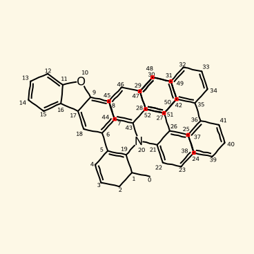 CC1CC=CC(c2ccc3oc4ccccc4c3c2)=C1N(c1ccccc1-c1cccc2cccc(-c3ccccc3)c12)c1cccc2ccccc12